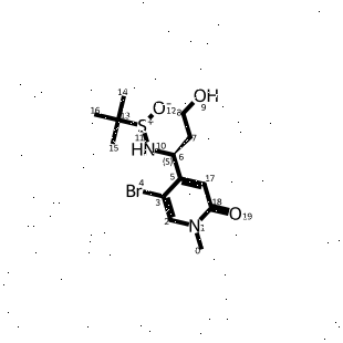 Cn1cc(Br)c([C@H](CCO)N[S+]([O-])C(C)(C)C)cc1=O